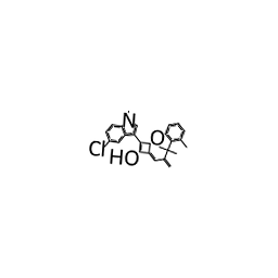 C=C(/C=C1\C(=O)C(c2cn(C)c3ccc(Cl)cc23)=C1O)C(C)(C)c1ccccc1C